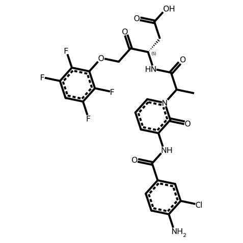 CC(C(=O)N[C@@H](CC(=O)O)C(=O)COc1c(F)c(F)cc(F)c1F)n1cccc(NC(=O)c2ccc(N)c(Cl)c2)c1=O